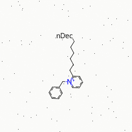 CCCCCCCCCCCCCCCCc1cccc[n+]1Cc1ccccc1